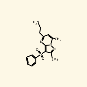 CSc1nn2c(C)cc(CCN)nc2c1S(=O)(=O)c1ccccc1